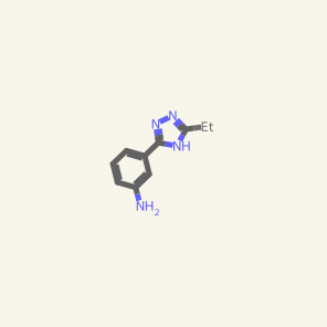 CCc1nnc(-c2cccc(N)c2)[nH]1